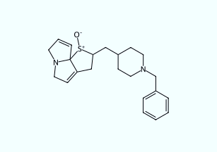 [O-][S+]1C(CC2CCN(Cc3ccccc3)CC2)CC2=CCN3CC=CC231